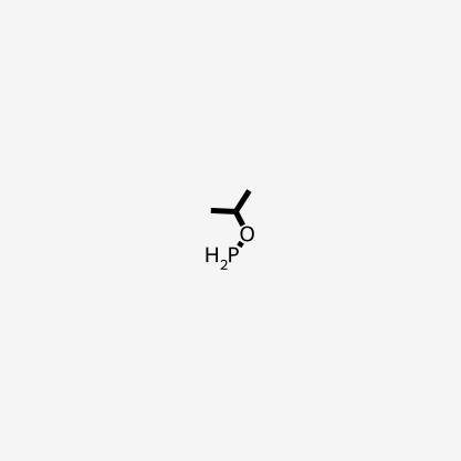 CC(C)OP